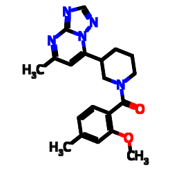 COc1cc(C)ccc1C(=O)N1CCCC(c2cc(C)nc3ncnn23)C1